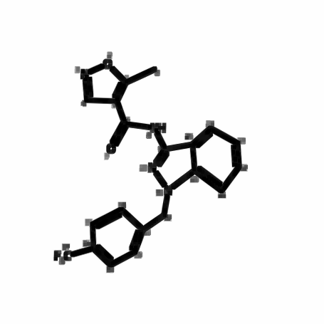 Cc1oncc1C(=O)Nc1nn(Cc2ccc(C(F)(F)F)cc2)c2ccccc12